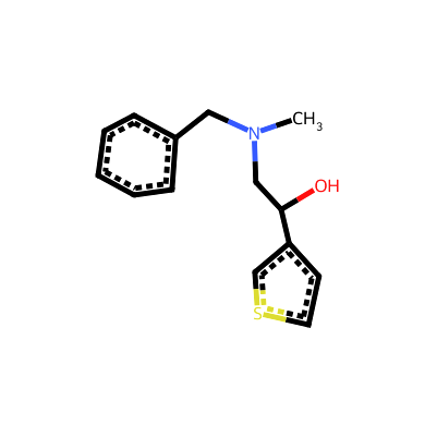 CN(Cc1ccccc1)CC(O)c1ccsc1